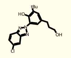 CC(C)(C)c1cc(CCCO)cc(-n2nc3ccc(Cl)cc3n2)c1O